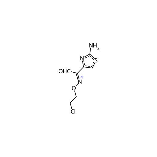 Nc1nc(/C([C]=O)=N/OCCCl)cs1